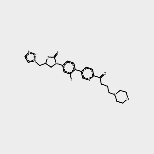 O=C(CCCN1CCOCC1)c1ccc(-c2ccc(N3CC(Cn4ccnn4)OC3=O)cc2F)cn1